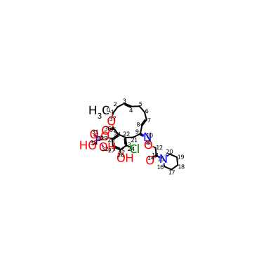 C[C@@H]1C/C=C/CC/C=C/C(=NOCC(=O)N2CCCCC2)Cc2c(Cl)c(O)cc(OP(=O)(O)O)c2C(=O)O1